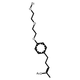 CCOCCOCCOc1ccc(CC/C=C(/C)OC(C)=O)cc1